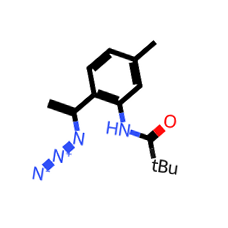 C=C(N=[N+]=[N-])c1ccc(C)cc1NC(=O)C(C)(C)C